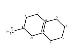 CC1CCC2=C(CCCC2)C1